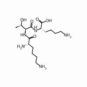 C[C@@H](O)[C@H](NC(=O)[C@@H](N)CCCCN)C(=O)N[C@@H](CCCCN)C(=O)O